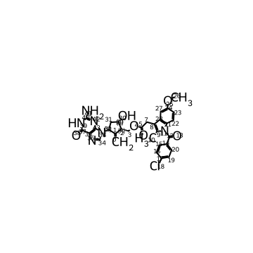 C=C1[C@H](COC(=O)Cc2c(C)n(C(=O)c3ccc(Cl)cc3)c3ccc(OC)cc23)[C@@H](O)C[C@@H]1n1cnc2c(=O)[nH]c(N)nc21